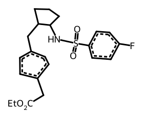 CCOC(=O)Cc1ccc(CC2CCCC2NS(=O)(=O)c2ccc(F)cc2)cc1